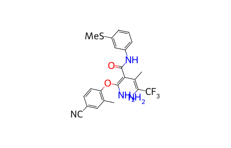 CSc1cccc(NC(=O)C(=C(/N)Oc2ccc(C#N)cc2C)/C(C)=C(\N)C(F)(F)F)c1